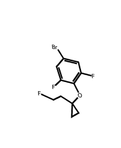 FCCC1(Oc2c(F)cc(Br)cc2F)CC1